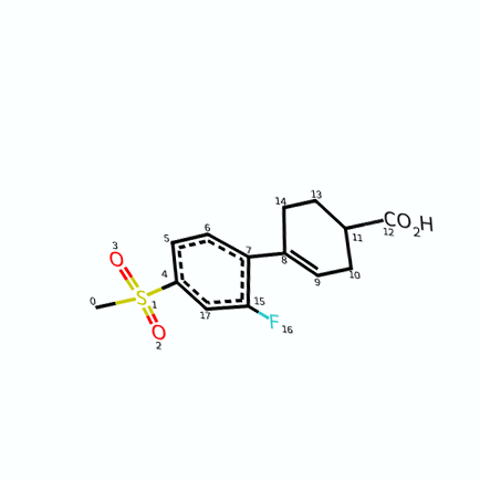 CS(=O)(=O)c1ccc(C2=CCC(C(=O)O)CC2)c(F)c1